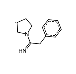 N=C(Cc1ccccc1)N1C[CH]CC1